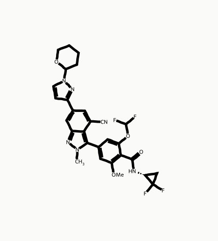 COc1cc(-c2c3c(C#N)cc(-c4ccn(C5CCCCO5)n4)cc3nn2C)cc(OC(F)F)c1C(=O)N[C@@H]1CC1(F)F